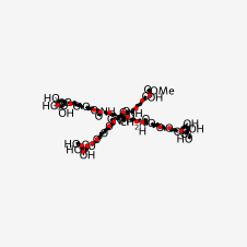 C=C(C(=O)[C@H](CCCCNC(=O)COCCOCCOCCO[C@H]1C[C@@H](O)[C@@H](O)[C@@H](CO)O1)NC(=O)COCCOCCOCCO[C@H]1C[C@@H](O)[C@@H](O)[C@@H](CO)O1)[C@@H](CCCCNC(=O)COCCOCCOCCO[C@H]1C[C@@H](O)[C@@H](O)[C@@H](CO)O1)C(=O)NCCCCCCOC(O)C(=O)OC